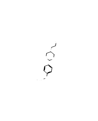 CCCCOc1ccc([C@H]2OC[C@H](CCC(F)(F)F)CO2)cc1